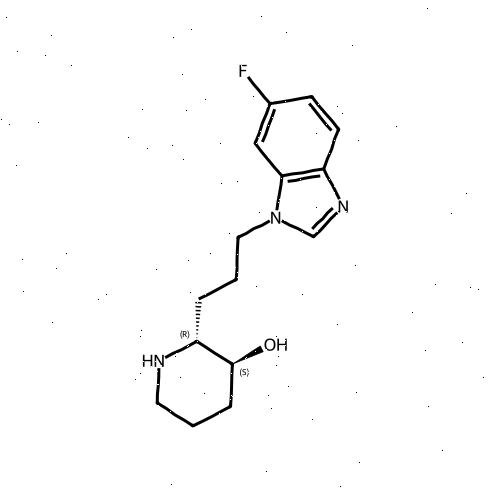 O[C@H]1CCCN[C@@H]1CCCn1cnc2ccc(F)cc21